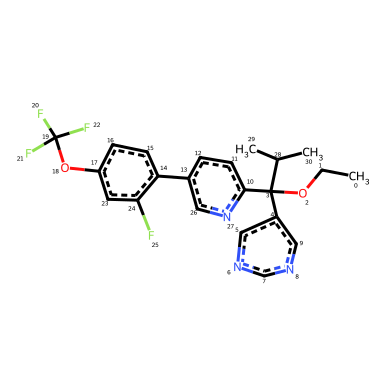 CCOC(c1cncnc1)(c1ccc(-c2ccc(OC(F)(F)F)cc2F)cn1)C(C)C